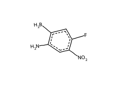 Bc1cc(F)c([N+](=O)[O-])cc1N